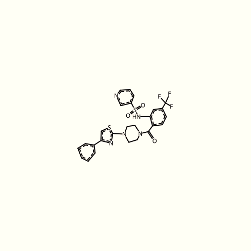 O=C(c1ccc(C(F)(F)F)cc1NS(=O)(=O)c1cccnc1)N1CCN(c2nc(-c3ccccc3)cs2)CC1